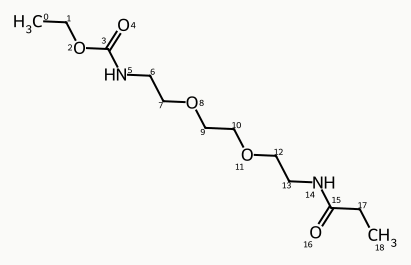 CCOC(=O)NCCOCCOCCNC(=O)CC